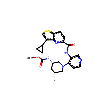 C[C@@H]1C[C@H](NC(=O)OC(C)(C)C)CN(c2ccncc2NC(=O)c2ccc3scc(C4CC4)c3n2)C1